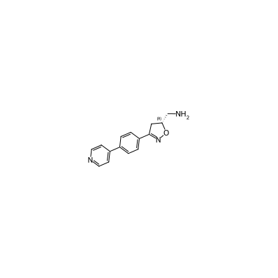 NC[C@H]1CC(c2ccc(-c3ccncc3)cc2)=NO1